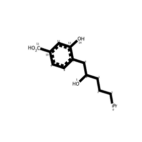 CC(C)CCCC(O)Cc1ccc(C(=O)O)cc1O